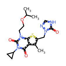 Cc1c(Cn2nc[nH]c2=O)sc2c1c(=O)n(C1CC1)c(=O)n2CCOC(C)C